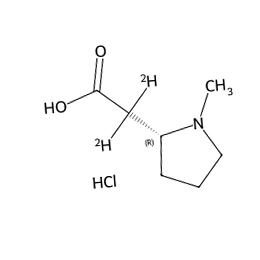 Cl.[2H]C([2H])(C(=O)O)[C@H]1CCCN1C